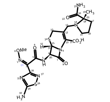 CO/N=C(\C(=O)N[C@@H]1C(=O)N2C(C(=O)O)=C(CN3CCC[C@@]3(C)C(N)=O)CS[C@@H]12)c1nsc(N)n1